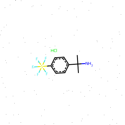 CC(C)(N)c1ccc(S(F)(F)(F)(F)F)cc1.Cl